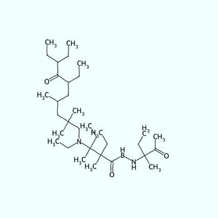 CCC(CC)C(=O)C(CC)CC(C)CC(C)(C)CN(CC)C(C)(CC)C(C)(CC)C(=O)BNC(C)(CC)C(C)=O